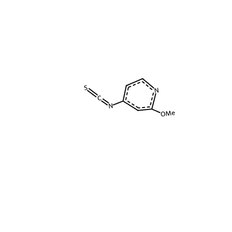 COc1cc(N=C=S)ccn1